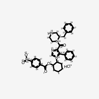 Cl.O=C(OC1CCCCC1n1cnc(C(=O)N2CCNC[C@H]2Cc2ccccc2)c1-c1ccccc1)c1ccc([N+](=O)[O-])cc1